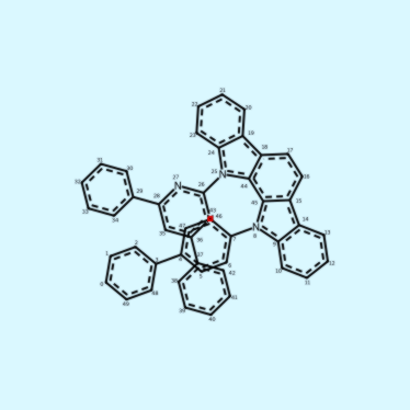 c1ccc(-c2ccc(-n3c4ccccc4c4ccc5c6ccccc6n(-c6nc(-c7ccccc7)cc(-c7ccccc7)n6)c5c43)cc2)cc1